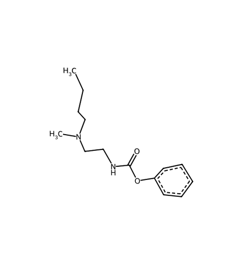 CCCCN(C)CCNC(=O)Oc1ccccc1